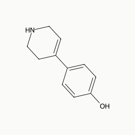 Oc1ccc(C2=CCNCC2)cc1